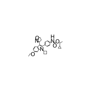 CCOc1ccc2c(C3=NOCC3)c(-c3ccc(NC(=O)OC(C)C4CC4)cc3)n(C3CCC3)c2c1